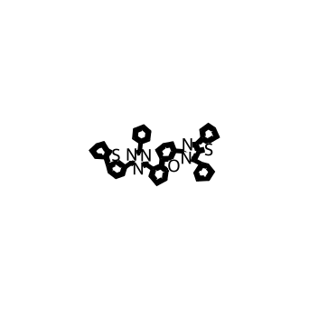 c1ccc(-c2nc(-c3cccc4c3sc3ccccc34)nc(-c3cccc4oc5c(-c6nc(-c7ccccc7)c7sc8ccccc8c7n6)cccc5c34)n2)cc1